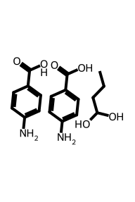 CCCC(O)O.Nc1ccc(C(=O)O)cc1.Nc1ccc(C(=O)O)cc1